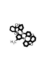 Cc1cc2c3c(c1)N1c4c(cccc4C4(C)CCCCC14C)B3c1ccc(Cl)cc1N2c1cccc2oc3ccccc3c12